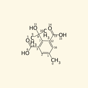 Cc1cc(C(=O)O)c(C(C)(C)O)c(C(=O)O)c1